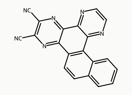 N#Cc1nc2c3ccc4ccccc4c3c3nccnc3c2nc1C#N